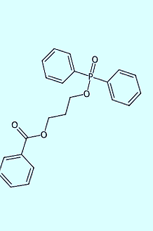 O=C(OCCCOP(=O)(c1ccccc1)c1ccccc1)c1ccccc1